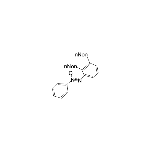 CCCCCCCCCc1cccc(N=[N+]([O-])c2ccccc2)c1CCCCCCCCC